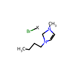 CCCCN1C=CN(C)C1.[K][Br]